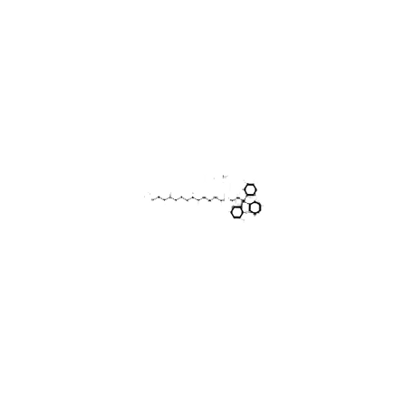 CCCCCCCCCCCCCCPCCC(c1ccccc1)(c1ccccc1)c1ccccc1.Cl